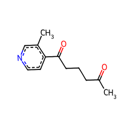 CC(=O)CCCC(=O)c1ccncc1C